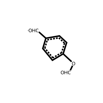 O=[C]c1ccc(OC=O)cc1